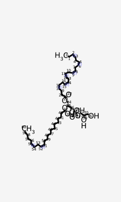 CC/C=C\C/C=C\C/C=C\C/C=C\C/C=C\C/C=C\CCC(=O)OC[C@H](COP(=O)(O)OC[C@@H](O)CO)OC(=O)CCCCCCCCCCC/C=C\C/C=C\CCCCC